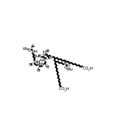 CC(C)(C)OCC(NC(=C=O)CCSCC(CCCCCCCCCCCCCCCC(=O)O)CC(CCCCCCCCCCCCCCC(=O)O)CCCCNC(=O)OC(C)(C)C)C(=C=O)NCC(=C=O)NCC(=C=O)NCC(=C=O)NCCCCCNC(=C=O)OC(C)(C)C